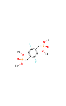 CCOP(=O)(Cc1cc(F)c(CP(=O)(OCC)OCC)cc1F)OCC